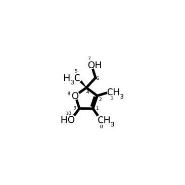 CC1=C(C)[C@@](C)(CO)OC1O